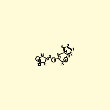 c1ccc2c(c1)C[C@@H](OCC1CCOC1)CO2